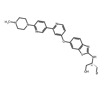 CC(C)C[C@H](CO)Nc1nc2ccc(Oc3ccnc(-c4ccc(N5CCN(C)CC5)nc4)c3)cc2s1